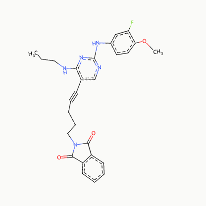 CCCNc1nc(Nc2ccc(OC)c(F)c2)ncc1C#CCCCN1C(=O)c2ccccc2C1=O